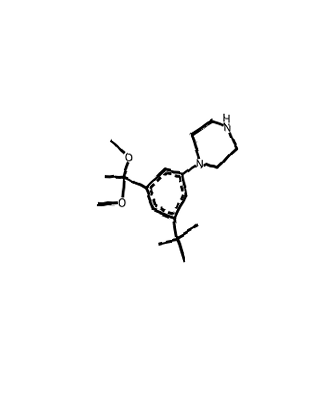 COC(C)(OC)c1cc(N2CCNCC2)cc(C(C)(C)C)c1